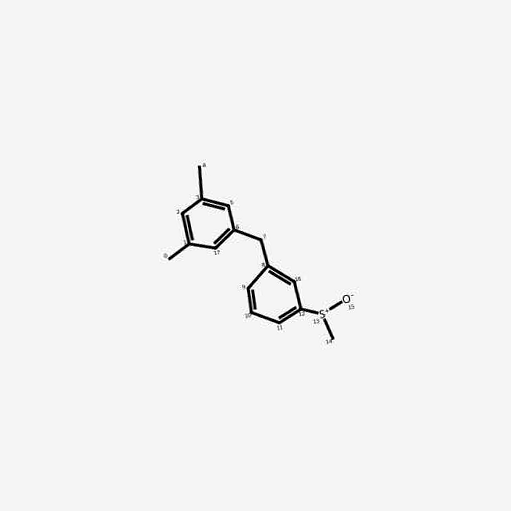 Cc1cc(C)cc(Cc2cccc([S+](C)[O-])c2)c1